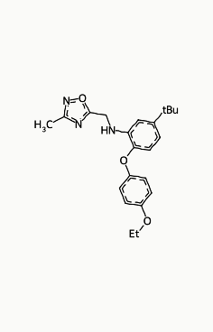 CCOc1ccc(Oc2ccc(C(C)(C)C)cc2NCc2nc(C)no2)cc1